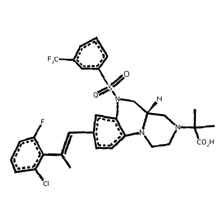 C/C(=C\c1ccc2c(c1)N(S(=O)(=O)c1cccc(C(F)(F)F)c1)C[C@@H]1CN(C(C)(C)C(=O)O)CCN21)c1c(F)cccc1Cl